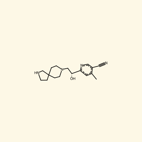 Cc1cc([C@H](O)CN2CCC3(CCNC3)CC2)ncc1C#N